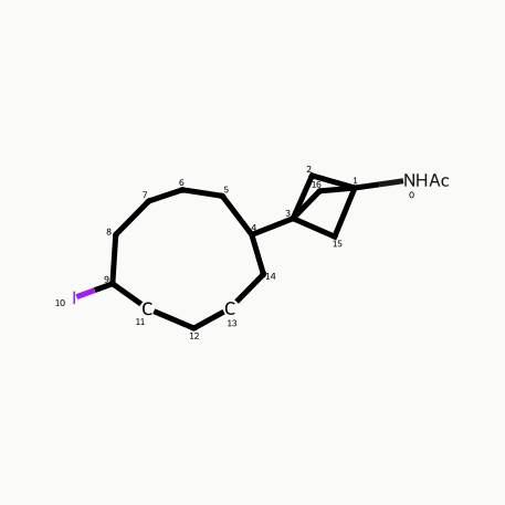 CC(=O)NC12CC(C3CCCCC(I)CCCC3)(C1)C2